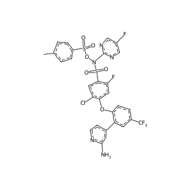 Cc1ccc(S(=O)(=O)ON(c2ncc(F)cn2)S(=O)(=O)c2cc(Cl)c(Oc3ccc(C(F)(F)F)cc3-c3ccnc(N)c3)cc2F)cc1